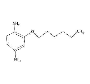 CCCCCCOc1cc(N)ccc1N